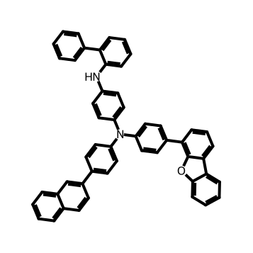 c1ccc(-c2ccccc2Nc2ccc(N(c3ccc(-c4ccc5ccccc5c4)cc3)c3ccc(-c4cccc5c4oc4ccccc45)cc3)cc2)cc1